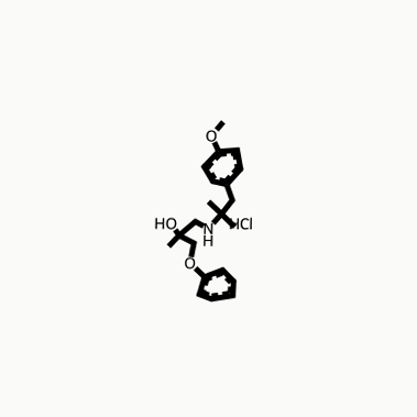 COc1ccc(CC(C)(C)NCC(C)(O)COc2ccccc2)cc1.Cl